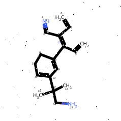 C=C/C(C=N)=C(\C=C)C1=CC(C(C)(C)CN)=CCC1